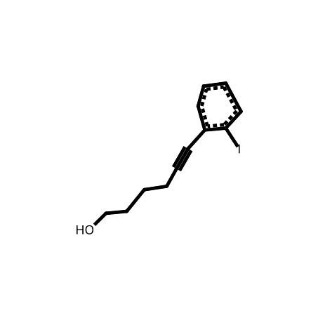 OCCCCC#Cc1ccccc1I